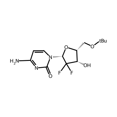 CC(C)(C)OC[C@H]1O[C@@H](n2ccc(N)nc2=O)C(F)(F)[C@H]1O